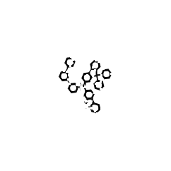 c1ccc(-c2cccc(-c3cccc(N(c4ccc5c(c4)C(c4ccccc4)(c4ccccc4)c4ccccc4-5)c4ccc5c(c4)sc4ccccc45)c3)c2)cc1